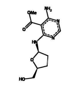 COC(=O)c1c(N)ncnc1N[C@H]1CC[C@@H](CO)O1